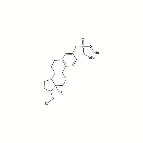 CCCCOP(=O)(OCCCC)Oc1ccc2c(c1)CCC1C2CCC2(C)C(OCC)CCC12